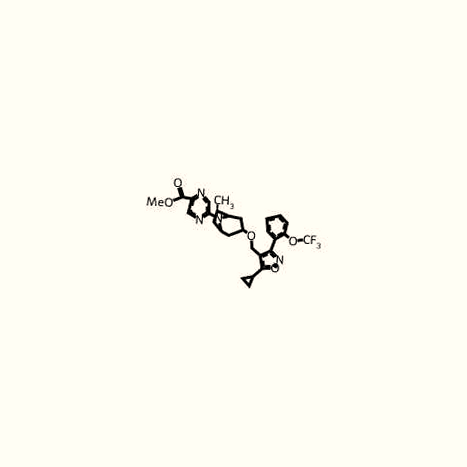 COC(=O)c1cnc(N2C3CC(OCc4c(-c5ccccc5OC(F)(F)F)noc4C4CC4)CC2[C@H](C)C3)cn1